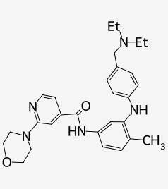 CCN(CC)Cc1ccc(Nc2cc(NC(=O)c3ccnc(N4CCOCC4)c3)ccc2C)cc1